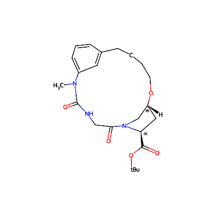 CN1C(=O)NCC(=O)N2C[C@@H](C[C@H]2C(=O)OC(C)(C)C)OCCCCc2cccc1c2